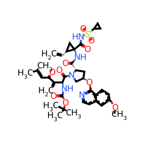 C=C[C@@H]1C[C@]1(NC(=O)[C@@H]1C[C@@H](Oc2nccc3cc(OC)ccc23)CN1C(=O)[C@@H](NC(=O)OC(C)(C)C)C(=C)C(=O)C=C(C)C)C(=O)NS(=O)(=O)C1CC1